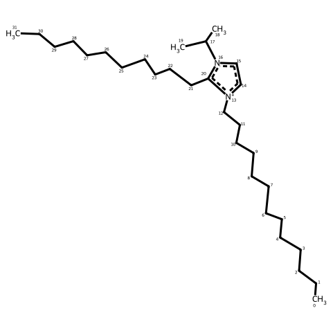 CCCCCCCCCCCCC[n+]1ccn(C(C)C)c1CCCCCCCCCCC